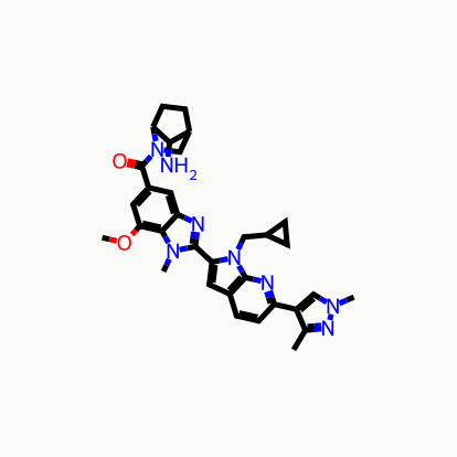 COc1cc(C(=O)N2CC3CCC2C3N)cc2nc(-c3cc4ccc(-c5cn(C)nc5C)nc4n3CC3CC3)n(C)c12